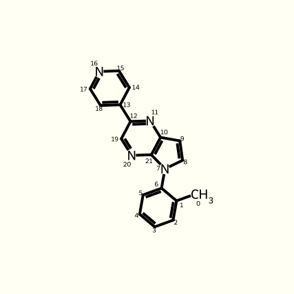 Cc1ccccc1-n1ccc2nc(-c3ccncc3)cnc21